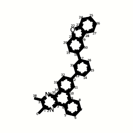 Cc1nc2c3ccccc3c3cc(-c4cccc(-c5ccc6oc7ccccc7c6c5)c4)ccc3c2nc1C